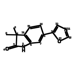 CC1(C)C(=O)Nc2cc(-c3cnco3)ccc21